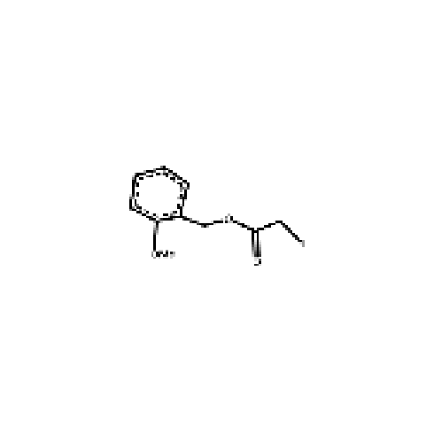 COc1ccccc1COC(=O)CI